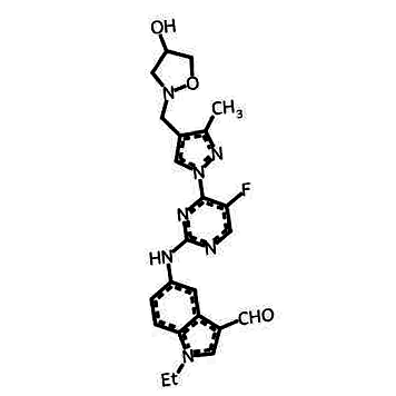 CCn1cc(C=O)c2cc(Nc3ncc(F)c(-n4cc(CN5CC(O)CO5)c(C)n4)n3)ccc21